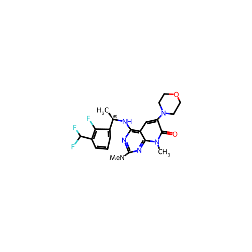 CNc1nc(N[C@H](C)c2cccc(C(F)F)c2F)c2cc(N3CCOCC3)c(=O)n(C)c2n1